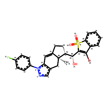 C[C@]12Cc3cnn(-c4ccc(F)cc4)c3C=C1CC[C@@H]2[C@@H](O)C1=C(Br)c2ccccc2S1(=O)=O